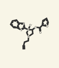 C#CCCN1CC(OC(=O)c2ccco2)[N+]([O-])(c2nc3ccccc3s2)C1